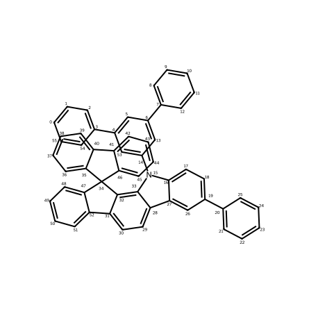 c1ccc(-c2cc(-c3ccccc3)cc(-n3c4ccc(-c5ccccc5)cc4c4ccc5c(c43)C3(c4ccccc4-c4ccccc43)c3ccccc3-5)c2)cc1